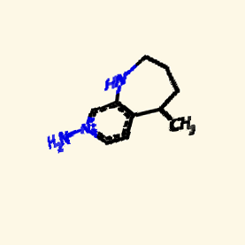 CC1CCCNc2c[n+](N)ccc21